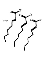 CCCCCC=CC(=O)[O-].CCCCCC=CC(=O)[O-].CCCCCC=CC(=O)[O-].[Cr+3]